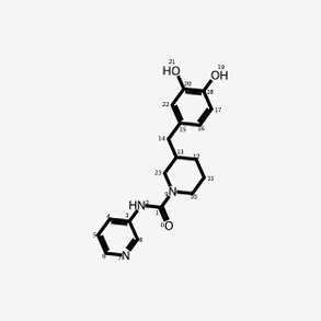 O=C(Nc1cccnc1)N1CCCC(Cc2ccc(O)c(O)c2)C1